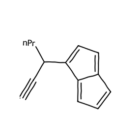 [C]#CC(CCC)C1=CC=C2C=CC=C21